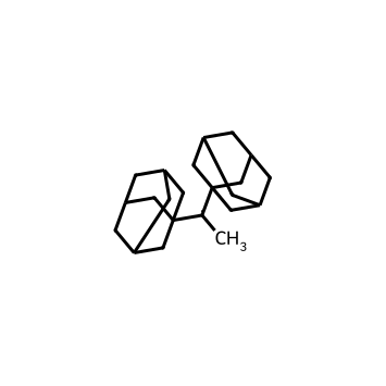 C[C](C12CC3CC(CC(C3)C1)C2)C12CC3CC(CC(C3)C1)C2